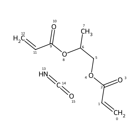 C=CC(=O)OCC(C)OC(=O)C=C.N=C=O